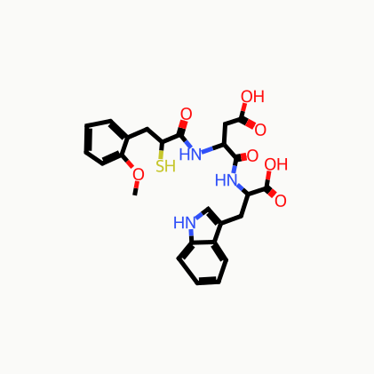 COc1ccccc1CC(S)C(=O)NC(CC(=O)O)C(=O)NC(Cc1c[nH]c2ccccc12)C(=O)O